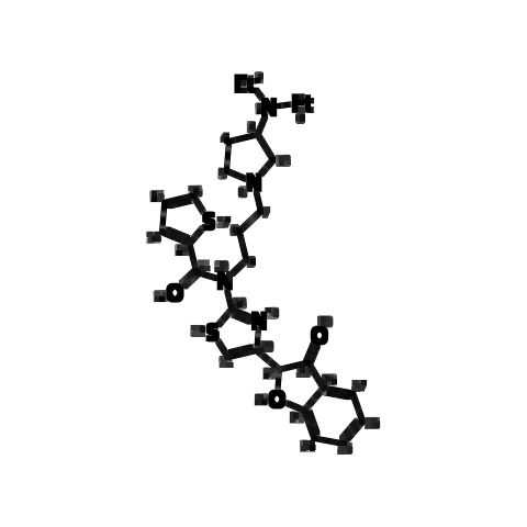 CCN(CC)C1CCN(CCCN(C(=O)c2cccs2)c2nc(C3Oc4ccccc4C3=O)cs2)C1